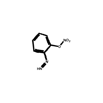 N=Nc1ccccc1O[N+](=O)[O-]